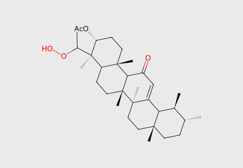 CC(=O)O[C@@H]1CC[C@@]2(C)C(CC[C@]3(C)C2C(=O)C=C2C4[C@@H](C)[C@H](C)CC[C@]4(C)CC[C@]23C)[C@@]1(C)C(C)OO